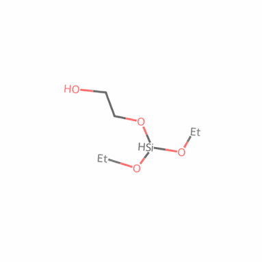 CCO[SiH](OCC)OCCO